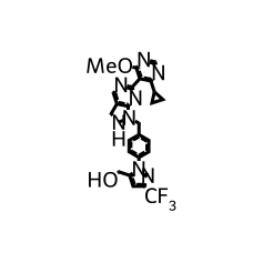 COc1ncnc(C2CC2)c1-c1ncc2c(n1)N(Cc1ccc(-n3nc(C(F)(F)F)cc3CO)cc1)NC2